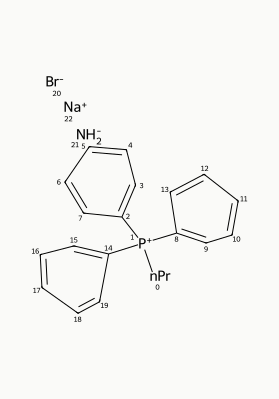 CCC[P+](c1ccccc1)(c1ccccc1)c1ccccc1.[Br-].[NH2-].[Na+]